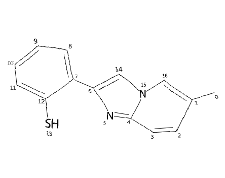 Cc1ccc2nc(-c3ccccc3S)cn2c1